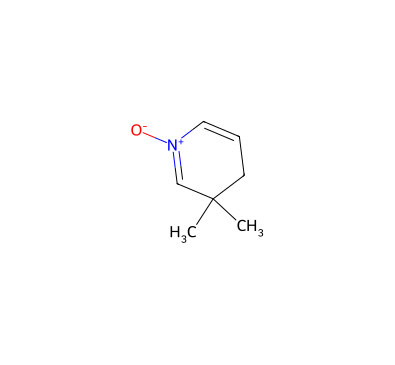 CC1(C)C=[N+]([O-])C=CC1